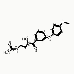 COc1ccc(Oc2cccc(C(=O)N(O)CCNC(N)=O)c2)cc1